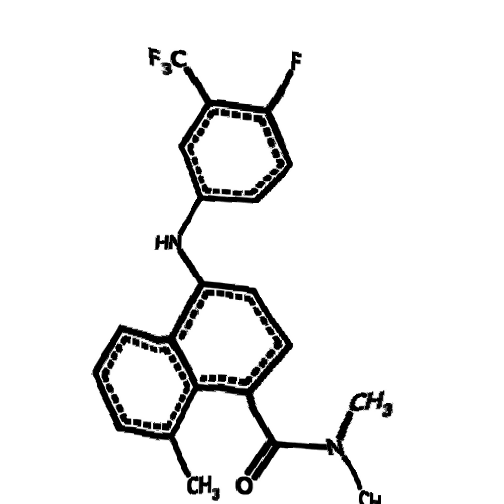 Cc1cccc2c(Nc3ccc(F)c(C(F)(F)F)c3)ccc(C(=O)N(C)C)c12